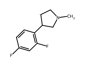 CN1C[CH]C(c2ccc(F)cc2F)C1